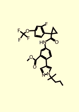 CCCC(C)(C)n1cc(-c2ccc(NC(=O)C3(c4ccc(OC(F)(F)F)cc4F)CC3)cc2C(=O)OC)cn1